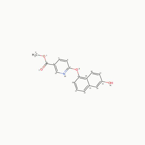 COC(=O)c1ccc(Oc2cccc3cc(O)ccc23)nc1